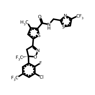 Cc1cc(C2=NO[C@](c3cc(C(F)(F)F)cc(Cl)c3F)(C(F)(F)F)C2)sc1C(=O)NCc1nc(C(F)(F)F)cs1